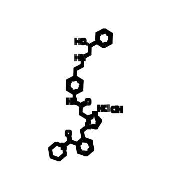 Cl.Cl.O=C(Cc1nccn1Cc1ccccc1C(=O)N1CCCCC1)Nc1ccc(CCNC[C@H](O)c2ccccc2)cc1